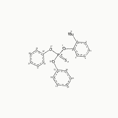 CC(C)(C)c1ccccc1OP(=S)(Oc1ccccc1)Oc1ccccc1